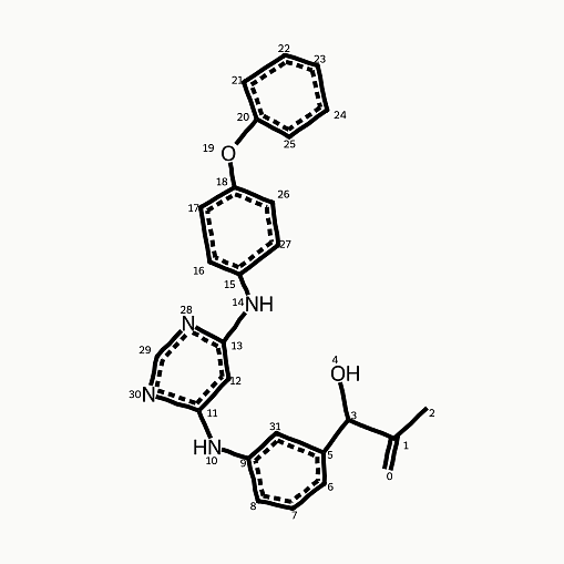 C=C(C)C(O)c1cccc(Nc2cc(Nc3ccc(Oc4ccccc4)cc3)ncn2)c1